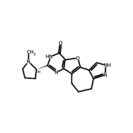 CN1CCC[C@H]1c1nc2c3c(oc2c(=O)[nH]1)-c1c[nH]nc1CCC3